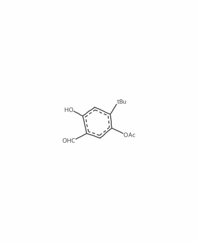 CC(=O)Oc1cc(C=O)c(O)cc1C(C)(C)C